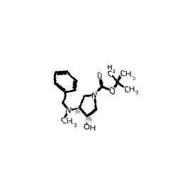 CN(Cc1ccccc1)[C@H]1CN(C(=O)OC(C)(C)C)C[C@@H]1O